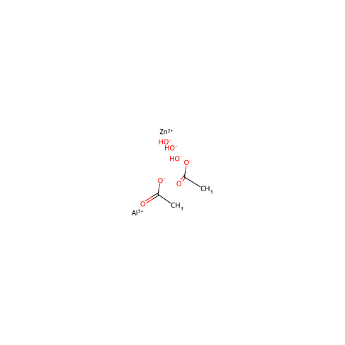 CC(=O)[O-].CC(=O)[O-].[Al+3].[OH-].[OH-].[OH-].[Zn+2]